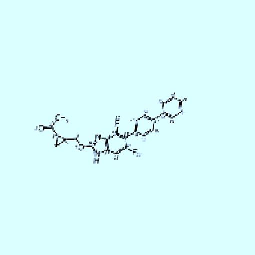 CC(=O)C1CC1COc1nc2c(F)c(-c3ccc(-c4ccccc4)cc3)c(F)cc2[nH]1